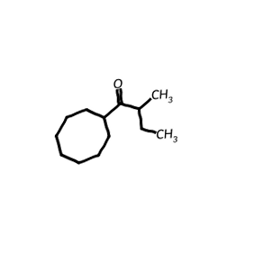 CCC(C)C(=O)C1CCCCCCC1